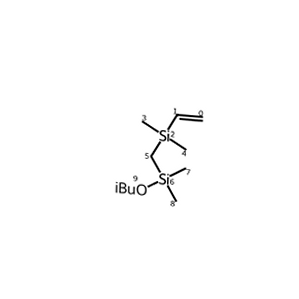 C=C[Si](C)(C)C[Si](C)(C)OCC(C)C